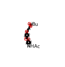 CCC(C)C(=O)OCCCCOc1ccc(C(=O)Oc2ccc(NC(C)=O)cc2)cc1